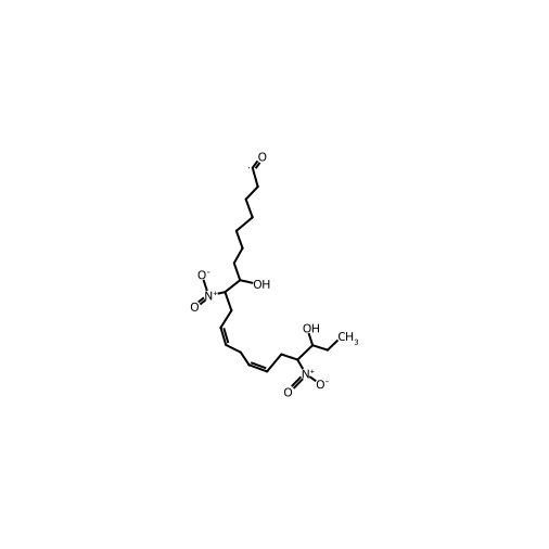 CCC(O)C(C/C=C\C/C=C\CC(C(O)CCCCCC[C]=O)[N+](=O)[O-])[N+](=O)[O-]